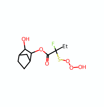 CCC(F)(SOOO)C(=O)OC1C2CCC(C2)C1O